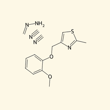 C#N.C#N.C=NN.COc1ccccc1OCc1csc(C)n1